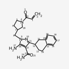 C=CC(=O)N1CCC(Cn2nc(C3CCc4ccccc4C3)c(C(N)=O)c2N)C1